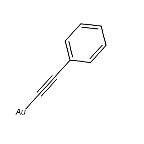 [Au][C]#Cc1ccccc1